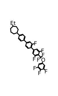 CCC1CCCC(c2ccc(-c3ccc(-c4cc(F)c(C(F)(F)Oc5cc(F)c(F)c(F)c5)c(F)c4)c(F)c3)cc2)CC1